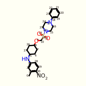 Cc1cc(NC2CCC(OCS(=O)(=O)N3CCN(c4ccccc4)CC3)CC2)ccc1[N+](=O)[O-]